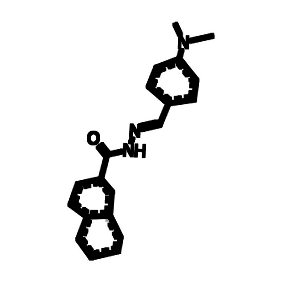 CN(C)c1ccc(C=NNC(=O)c2ccc3ccccc3c2)cc1